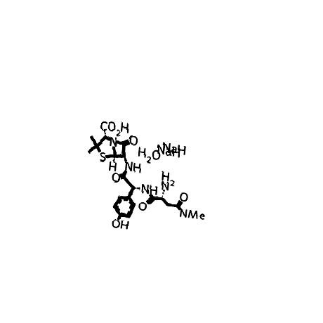 CNC(=O)C[C@@H](N)C(=O)N[C@@H](C(=O)N[C@@H]1C(=O)N2[C@@H]1SC(C)(C)[C@@H]2C(=O)O)c1ccc(O)cc1.O.[NaH].[NaH]